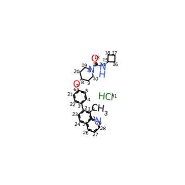 Cc1c(-c2ccc(OC3CCN(C(=O)NC4CCC4)CC3)cc2)ccc2cccnc12.Cl